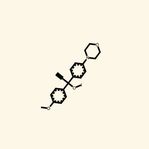 C#CC(OI)(c1ccc(OC)cc1)c1ccc(N2CCOCC2)cc1